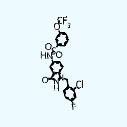 O=c1[nH]n(Cc2ccc(F)cc2Cl)c2ccc(NS(=O)(=O)c3cccc(OC(F)(F)F)c3)cc12